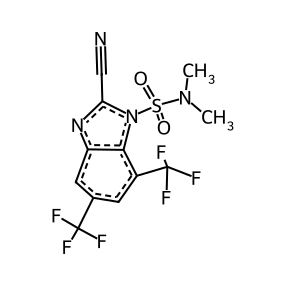 CN(C)S(=O)(=O)n1c(C#N)nc2cc(C(F)(F)F)cc(C(F)(F)F)c21